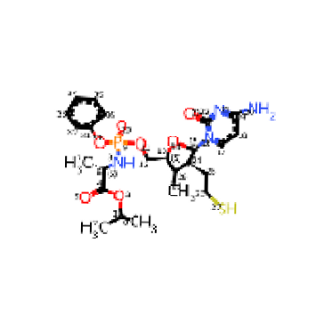 CC(C)OC(=O)[C@H](C)NP(=O)(OC[C@H]1O[C@@H](n2ccc(N)nc2=O)[C@@H](CCS)C1C)Oc1ccccc1